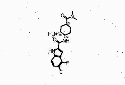 CN(C)C(=O)[C@H]1CC[C@H](NC(=O)c2cc3c(F)c(Cl)ccc3[nH]2)[C@H](N)C1